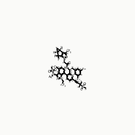 CC(=O)N(c1nn(CC(F)(F)F)c2c(-c3ccc(C#CC(C)(C)S(C)(=O)=O)nc3[C@H](Cc3cc(F)cc(F)c3)NC(=O)Cn3nc(C(F)(F)F)c4c3C(F)(F)[C@@H]3C[C@H]43)ccc(Cl)c12)S(C)(=O)=O